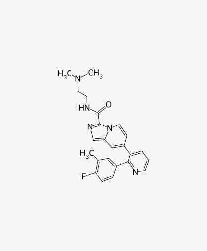 Cc1cc(-c2ncccc2-c2ccn3c(C(=O)NCCN(C)C)ncc3c2)ccc1F